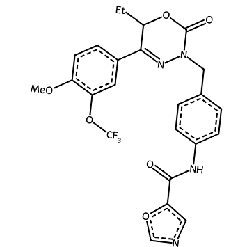 CCC1OC(=O)N(Cc2ccc(NC(=O)c3cnco3)cc2)N=C1c1ccc(OC)c(OC(F)(F)F)c1